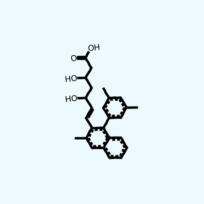 Cc1cc(C)cc(-c2c(/C=C/C(O)CC(O)CC(=O)O)c(C)cc3ccccc23)c1